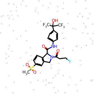 CS(=O)(=O)c1ccc2c(c1)CN(C(=O)CCF)C2C(=O)Nc1ccc(C(O)(C(F)(F)F)C(F)(F)F)cc1